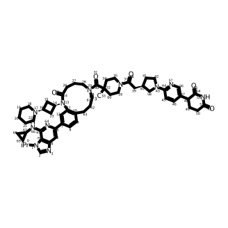 CC(C)n1cnc2cc(-c3ccc4c(c3)N([C@H]3C[C@@H](N5CCCCC5)C3)C(=O)CCCN(C(=O)C3(C)CCN(C(=O)C[C@H]5CCN(c6ccc(C7CCC(=O)NC7=O)cn6)C5)CC3)CCC4)nc(NC3CC3)c21